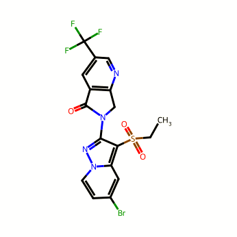 CCS(=O)(=O)c1c(N2Cc3ncc(C(F)(F)F)cc3C2=O)nn2ccc(Br)cc12